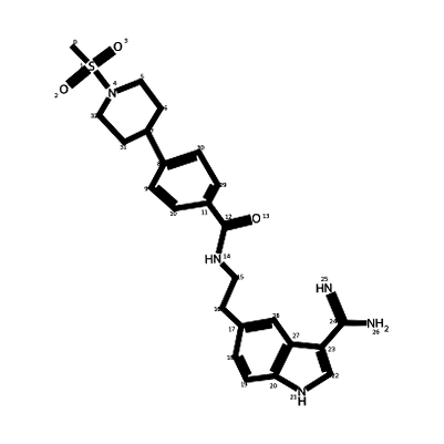 CS(=O)(=O)N1CCC(c2ccc(C(=O)NCCc3ccc4[nH]cc(C(=N)N)c4c3)cc2)CC1